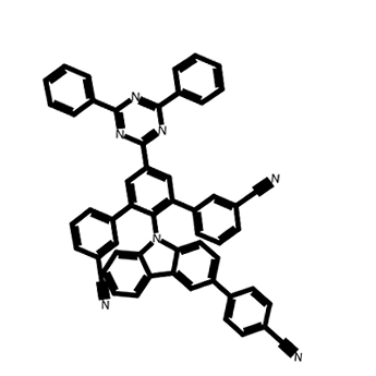 N#Cc1ccc(-c2ccc3c(c2)c2ccccc2n3-c2c(-c3cccc(C#N)c3)cc(-c3nc(-c4ccccc4)nc(-c4ccccc4)n3)cc2-c2cccc(C#N)c2)cc1